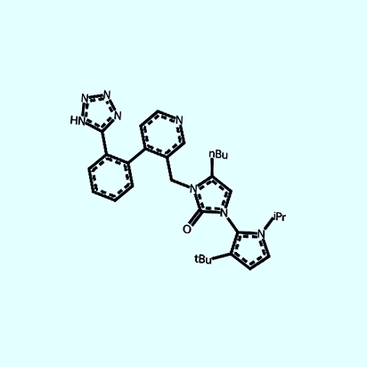 CCCCc1cn(-c2c(C(C)(C)C)ccn2C(C)C)c(=O)n1Cc1cnccc1-c1ccccc1-c1nnn[nH]1